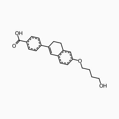 O=C(O)c1ccc(C2=Cc3ccc(OCCCCO)cc3CC2)cc1